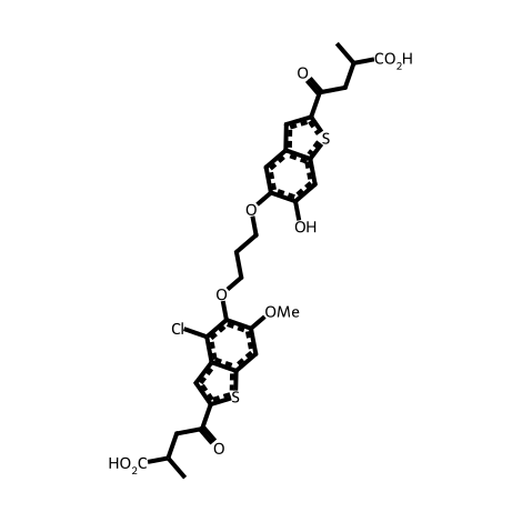 COc1cc2sc(C(=O)CC(C)C(=O)O)cc2c(Cl)c1OCCCOc1cc2cc(C(=O)CC(C)C(=O)O)sc2cc1O